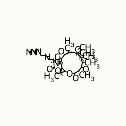 CO[C@@]1(C)C[C@@H](C)C(=O)C(C)[C@H]2N(CCCCN=[N+]=[N-])C(=O)OC23C(OC(=O)C(C)C(=O)C(C)[C@H]1C)[C@@H]3C